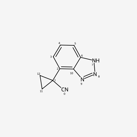 N#CC1(c2cccc3[nH]nnc23)CC1